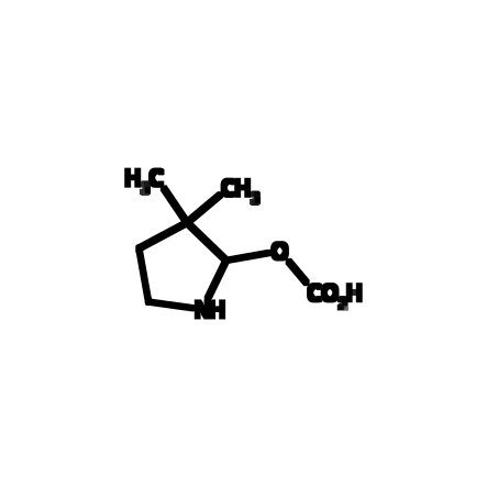 CC1(C)CCNC1OC(=O)O